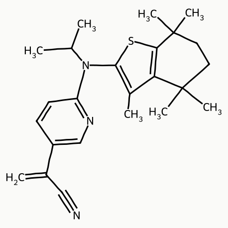 C=C(C#N)c1ccc(N(c2sc3c(c2C)C(C)(C)CCC3(C)C)C(C)C)nc1